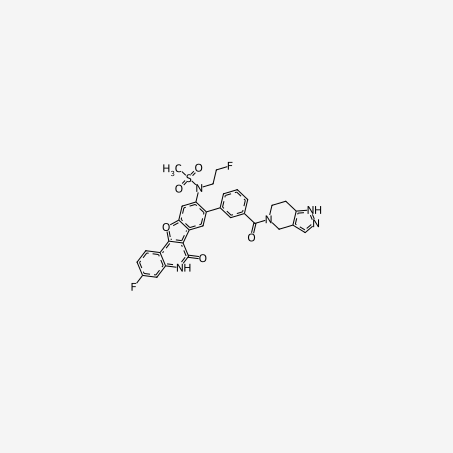 CS(=O)(=O)N(CCF)c1cc2oc3c4ccc(F)cc4[nH]c(=O)c3c2cc1-c1cccc(C(=O)N2CCc3[nH]ncc3C2)c1